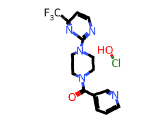 O=C(c1cccnc1)N1CCN(c2nccc(C(F)(F)F)n2)CC1.OCl